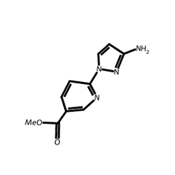 COC(=O)c1ccc(-n2ccc(N)n2)nc1